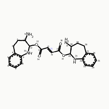 NC1CCc2ccccc2NC1OC(=O)/C=C/C(=O)OC1Nc2ccccc2CCC1N